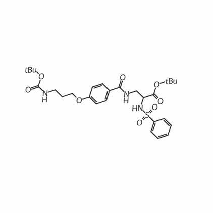 CC(C)(C)OC(=O)NCCCOc1ccc(C(=O)NCC(NS(=O)(=O)c2ccccc2)C(=O)OC(C)(C)C)cc1